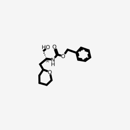 O=C(N[C@@H](CO)CC1CCCCO1)OCc1ccccc1